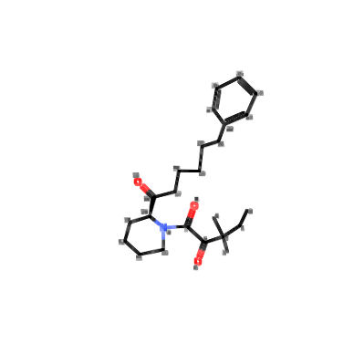 CCC(C)(C)C(=O)C(=O)N1CCCC[C@H]1C(=O)CCCCCc1ccccc1